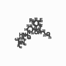 CCCC(C)C[C@@H](CNC)NC(=O)N1CCC[C@@H]([C@@](O)(CCCCOC)c2cc(F)cc(F)c2F)C1